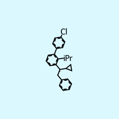 CC(C)c1c([C](Cc2ccccc2)C2CC2)cccc1-c1ccc(Cl)cc1